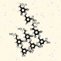 CC(C)Nc1cc(C#N)cc(COc2c(Br)cc(C(=O)NCC(=O)O)cc2Br)c1.CC(C)Nc1cc(C#N)cc(COc2c(Br)cc(CCC(=O)O)cc2Br)c1.CC(C)Nc1cc(C#N)cc(COc2c(Cl)cc(CCC(=O)O)cc2Cl)c1.CC(C)Nc1cc(F)cc(COc2c(Br)cc(CC(=O)O)cc2Br)c1